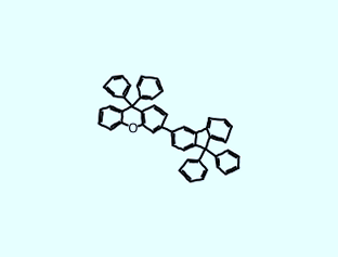 c1ccc(C2(c3ccccc3)c3ccccc3Oc3cc(-c4ccc5c(c4)-c4ccccc4C5(c4ccccc4)c4ccccc4)ccc32)cc1